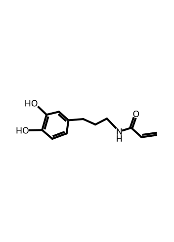 C=CC(=O)NCCCc1ccc(O)c(O)c1